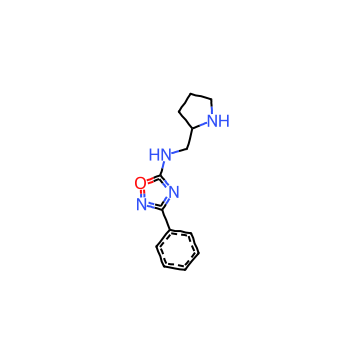 c1ccc(-c2noc(NCC3CCCN3)n2)cc1